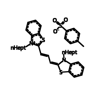 CCCCCCCN1C(=CC=Cc2sc3ccccc3[n+]2CCCCCCC)Sc2ccccc21.Cc1ccc(S(=O)(=O)[O-])cc1